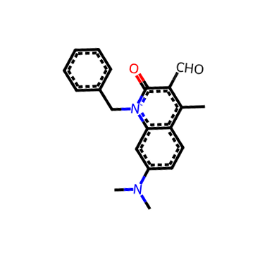 Cc1c(C=O)c(=O)n(Cc2ccccc2)c2cc(N(C)C)ccc12